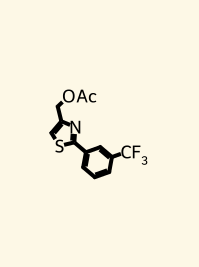 CC(=O)OCc1csc(-c2cccc(C(F)(F)F)c2)n1